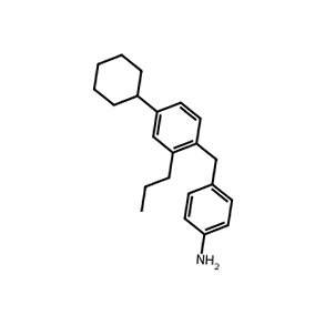 CCCc1cc(C2CCCCC2)ccc1Cc1ccc(N)cc1